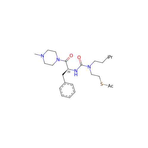 CC(=O)SCCN(CCC(C)C)C(=O)N[C@@H](Cc1ccccc1)C(=O)N1CCN(C)CC1